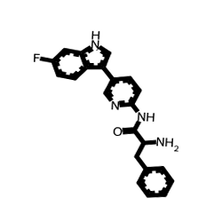 NC(Cc1ccccc1)C(=O)Nc1ccc(-c2c[nH]c3cc(F)ccc23)cn1